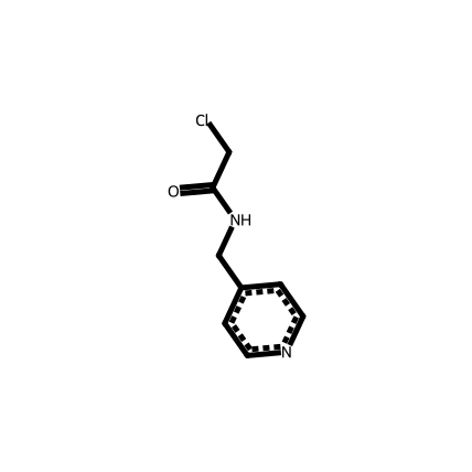 O=C(CCl)NCc1ccncc1